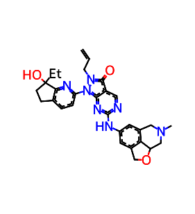 C=CCn1c(=O)c2cnc(Nc3cc4c5c(c3)CN(C)CC5OC4)nc2n1-c1ccc2c(n1)C(O)(CC)CC2